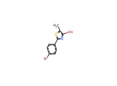 Cc1sc(-c2ccc(Br)cc2)nc1O